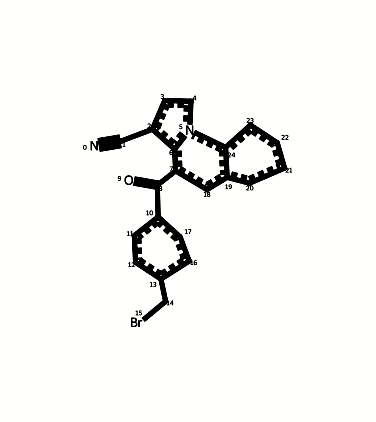 N#Cc1ccn2c1c(C(=O)c1ccc(CBr)cc1)cc1ccccc12